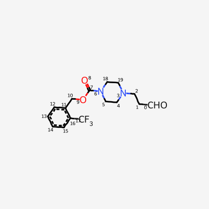 O=CCCN1CCN(C(=O)OCc2ccccc2C(F)(F)F)CC1